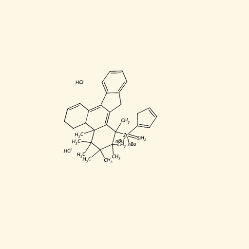 CCC[CH2][Zr](=[SiH2])([CH2]CCC)([C]1=CC=CC1)[C]1(C)C2=C3Cc4ccccc4C3=C3C=CCCC3C2(C)C(C)(C)C(C)(C)C1(C)C.Cl.Cl